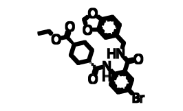 CCOC(=O)[C@H]1CC[C@H](C(=O)Nc2ccc(Br)cc2C(=O)NCc2ccc3c(c2)OCO3)CC1